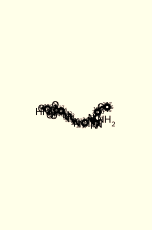 Nc1ncnc2c1c(-c1ccc(Oc3ccccc3)cc1)nn2C1CCN(CN2CC(N3CCN(c4ccc5c(c4)C(=O)N(C4CCC(=O)NC4=O)C5=O)CC3)C2)CC1